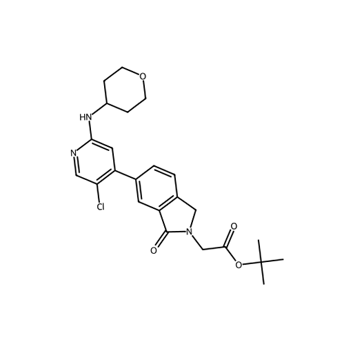 CC(C)(C)OC(=O)CN1Cc2ccc(-c3cc(NC4CCOCC4)ncc3Cl)cc2C1=O